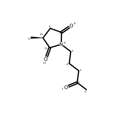 CC(=O)CCCN1C(=O)C[C@H](C)C1=O